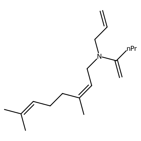 C=CCN(C/C=C(/C)CCC=C(C)C)C(=C)CCC